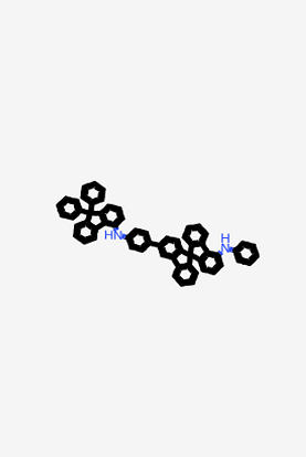 c1ccc(Nc2cccc3c2-c2ccccc2C32c3ccccc3-c3cc(-c4ccc(Nc5cccc6c5-c5ccccc5C6(c5ccccc5)c5ccccc5)cc4)ccc32)cc1